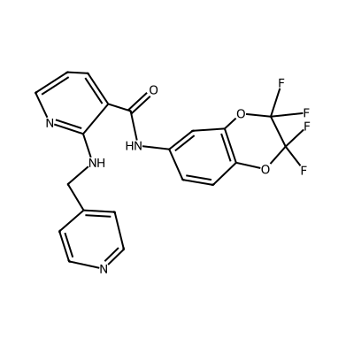 O=C(Nc1ccc2c(c1)OC(F)(F)C(F)(F)O2)c1cccnc1NCc1ccncc1